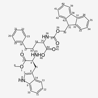 COC(=O)[C@H](Cc1c[nH]c2ccccc12)NC(Cc1ccccc1)CC(NC(=O)OCC1c2ccccc2-c2ccccc21)C(=O)O